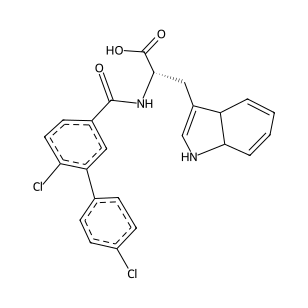 O=C(N[C@@H](CC1=CNC2C=CC=CC12)C(=O)O)c1ccc(Cl)c(-c2ccc(Cl)cc2)c1